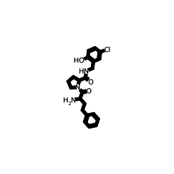 NC(CCc1ccccc1)C(=O)N1CCCC1C(=O)NCc1cc(Cl)ccc1O